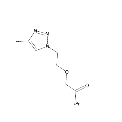 Cc1cn(CCOCC(=O)C(C)C)nn1